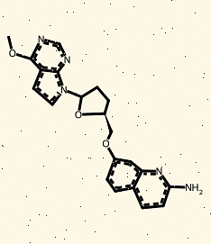 COc1ncnc2c1ccn2C1CC[C@@H](COc2ccc3ccc(N)nc3c2)O1